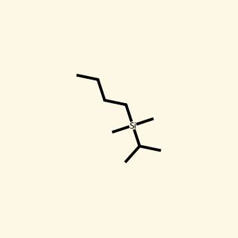 CCCC[Si](C)(C)C(C)C